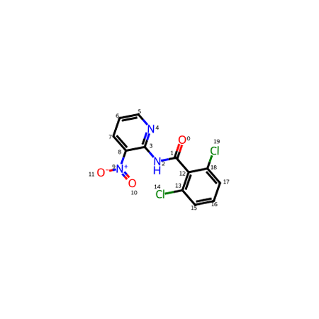 O=C(Nc1ncccc1[N+](=O)[O-])c1c(Cl)cccc1Cl